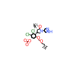 C[Si](C)(C)CCOCOc1ccc(Cl)c(Cl)c1[C@H]1CC(=O)N(c2cn[nH]c2)C1.O=C([O-])[O-].[K+].[K+]